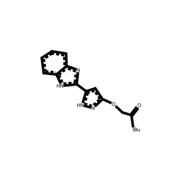 CC(C)(C)C(=O)COc1cc(-c2nc3ccccc3[nH]2)[nH]n1